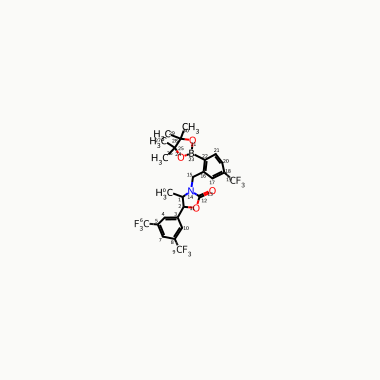 CC1C(c2cc(C(F)(F)F)cc(C(F)(F)F)c2)OC(=O)N1Cc1cc(C(F)(F)F)ccc1B1OC(C)(C)C(C)(C)O1